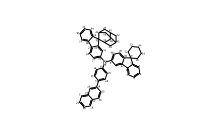 c1ccc2c(c1)-c1cc(N(c3ccc(-c4ccc5ccccc5c4)cc3)c3ccc4c(c3)C3(c5ccccc5-4)C4CC5CC(C4)CC3C5)ccc1C21CCCCC1